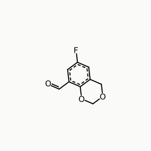 O=Cc1cc(F)cc2c1OCOC2